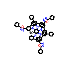 N#Cc1c(-n2c3ccccc3c3cc(-c4nnc(-c5ccccc5)o4)ccc32)c(-n2c3ccccc3c3cc(-c4ccccc4)ccc32)c(-n2c3ccccc3c3cc(-c4nnc(-c5ccccc5)o4)ccc32)c(-n2c3ccccc3c3cc(-c4ccccc4)ccc32)c1-n1c2ccccc2c2cc(-c3nnc(-c4ccccc4)o3)ccc21